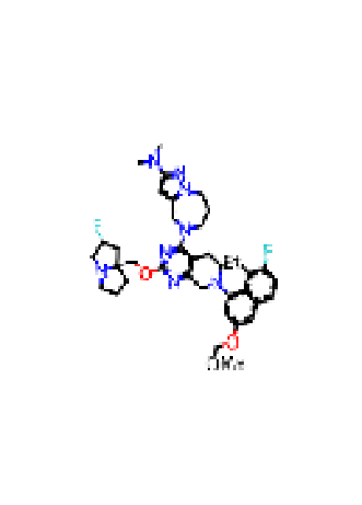 CCc1c(F)ccc2cc(OCOC)cc(N3CCc4c(nc(OC[C@@]56CCCN5C[C@H](F)C6)nc4N4CCCn5nc(N(C)C)cc5C4)C3)c12